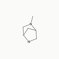 CN1C[C]2CC1C[N]2